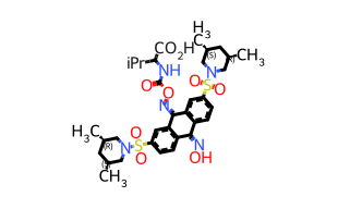 CC(C)C(NC(=O)ON=C1c2cc(S(=O)(=O)N3C[C@H](C)C[C@H](C)C3)ccc2C(=NO)c2ccc(S(=O)(=O)N3C[C@H](C)C[C@H](C)C3)cc21)C(=O)O